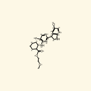 COCCOC(=O)C1CCCC[C@@H]1Nc1nc(C2CNc3ncc(Cl)cc32)ncc1F